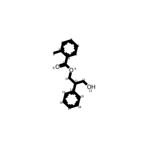 Cc1ccccc1C(=O)OCC(CO)c1ccccc1